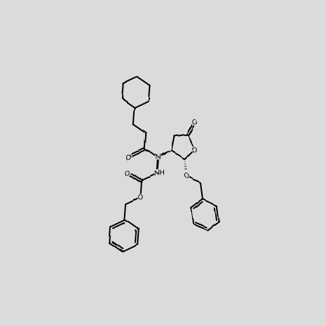 O=C1C[C@H](N(NC(=O)OCc2ccccc2)C(=O)CCC2CCCCC2)[C@@H](OCc2ccccc2)O1